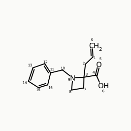 C=CCC1(C(=O)O)CCN1Cc1ccccc1